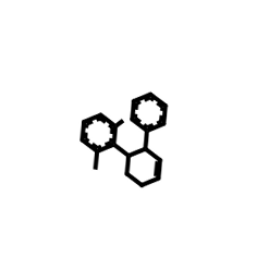 Cc1cccc(C)c1C1CCC=CC1c1ccccc1